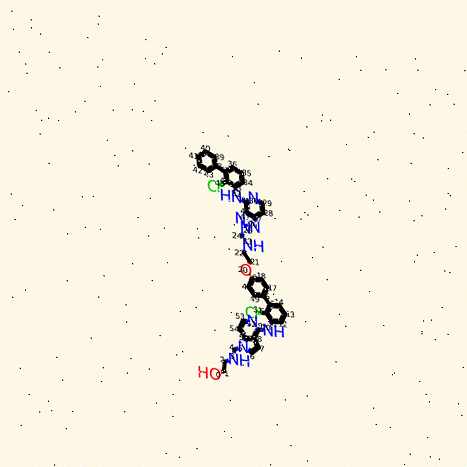 OCCNCn1ccc2c(Nc3cccc(-c4ccc(OCCNCn5nc6ccnc(Nc7cccc(-c8ccccc8)c7Cl)c6n5)cc4)c3Cl)nccc21